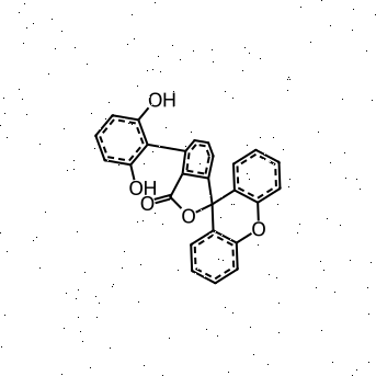 O=C1OC2(c3ccccc3Oc3ccccc32)c2cccc(-c3c(O)cccc3O)c21